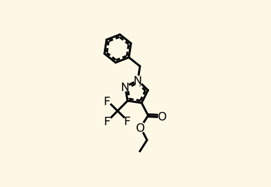 CCOC(=O)c1cn(Cc2ccccc2)nc1C(F)(F)F